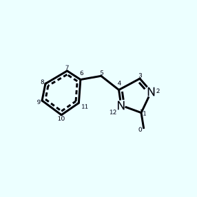 C[C]1N=CC(Cc2ccccc2)=N1